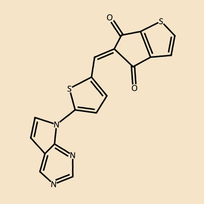 O=C1/C(=C\c2ccc(-n3ccc4cncnc43)s2)C(=O)c2sccc21